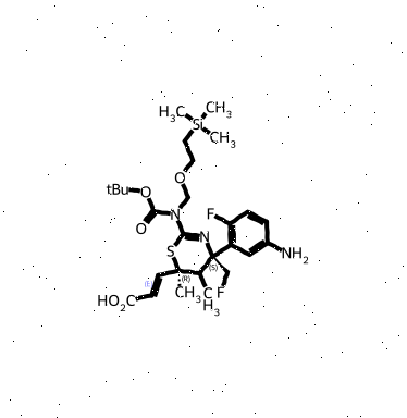 CC1[C@@](C)(/C=C/C(=O)O)SC(N(COCC[Si](C)(C)C)C(=O)OC(C)(C)C)=N[C@]1(CF)c1cc(N)ccc1F